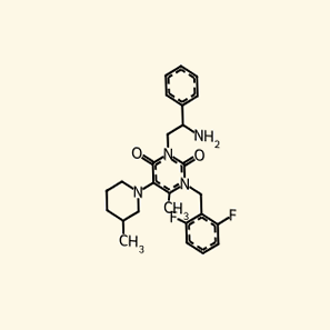 Cc1c(N2CCCC(C)C2)c(=O)n(CC(N)c2ccccc2)c(=O)n1Cc1c(F)cccc1F